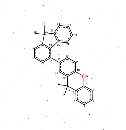 CC1(C)c2ccccc2Oc2ccc(-c3cccc4c3-c3ccccc3C4(C)C)cc21